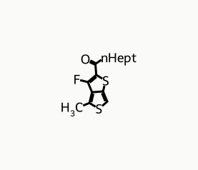 CCCCCCCC(=O)c1sc2csc(C)c2c1F